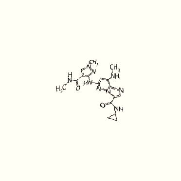 CNC(=O)c1cn(C)nc1Nc1cc(NC)c2ncc(C(=O)NC3CC3)n2n1